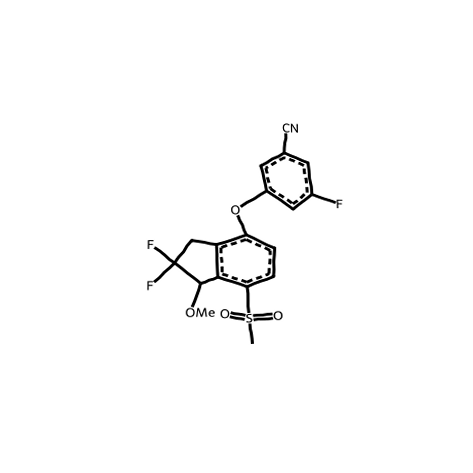 COC1c2c(S(C)(=O)=O)ccc(Oc3cc(F)cc(C#N)c3)c2CC1(F)F